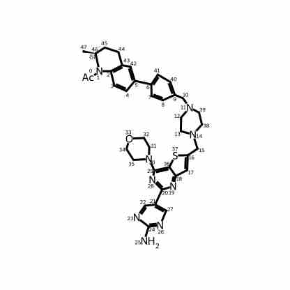 CC(=O)N1c2ccc(-c3ccc(CN4CCN(Cc5cc6nc(-c7cnc(N)nc7)nc(N7CCOCC7)c6s5)CC4)cc3)cc2CC[C@@H]1C